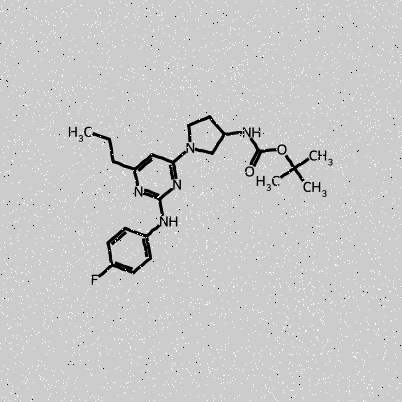 CCCc1cc(N2CCC(NC(=O)OC(C)(C)C)C2)nc(Nc2ccc(F)cc2)n1